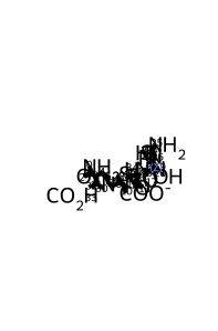 NC(=O)c1cc[n+](CC2=C(C(=O)[O-])N3C(=O)[C@@H](NC(=O)/C(=N\O)c4nsc(N)n4)[C@H]3SC2)cc1CC(=O)O